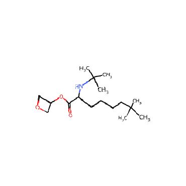 CC(C)(C)CCCCC(NC(C)(C)C)C(=O)OC1COC1